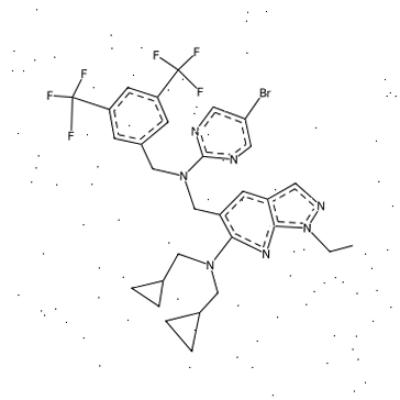 CCn1ncc2cc(CN(Cc3cc(C(F)(F)F)cc(C(F)(F)F)c3)c3ncc(Br)cn3)c(N(CC3CC3)CC3CC3)nc21